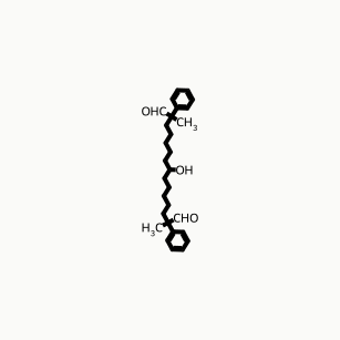 CC(C=O)(CCCCCC(O)CCCCCC(C)(C=O)c1ccccc1)c1ccccc1